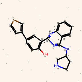 Oc1ccc(-c2ccsc2)cc1-c1nc(NC2CCNC2)c2ccccc2n1